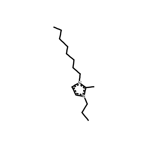 CCCCCCCC[n+]1ccn(CCC)c1C